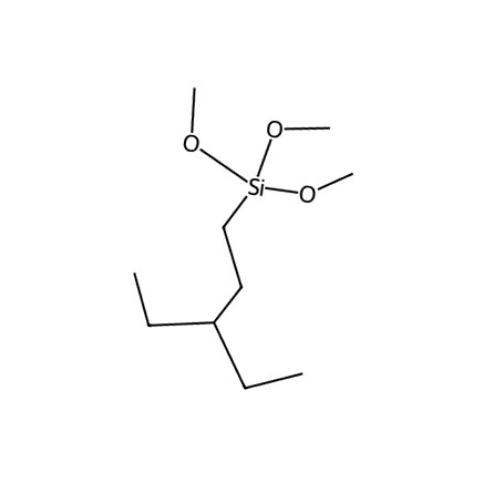 CCC(CC)CC[Si](OC)(OC)OC